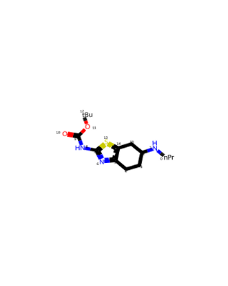 CCCNC1CCc2nc(NC(=O)OC(C)(C)C)sc2C1